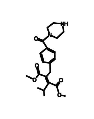 COC(=O)C(Cc1ccc(C(=O)N2CCNCC2)cc1)=C(C(=O)OC)C(C)C